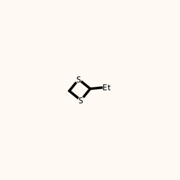 CCC1SCS1